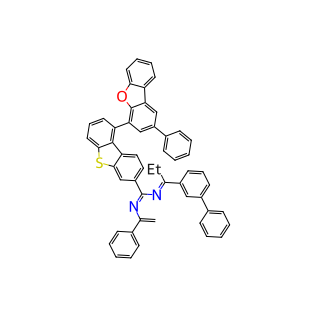 C=C(/N=C(\N=C(/CC)c1cccc(-c2ccccc2)c1)c1ccc2c(c1)sc1cccc(-c3cc(-c4ccccc4)cc4c3oc3ccccc34)c12)c1ccccc1